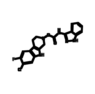 O=C(Nc1n[nH]c2ccccc12)ON1CCc2c([nH]c3cc(Cl)c(F)cc23)C1